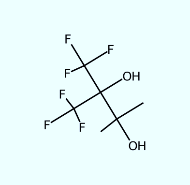 CC(C)(O)C(O)(C(F)(F)F)C(F)(F)F